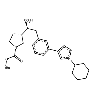 CC(C)(C)OC(=O)N1CC[C@H]([C@H](Cc2cccc(-c3cnn(C4CCCCC4)c3)c2)C(=O)O)C1